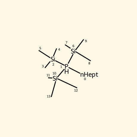 CCCCCCC[PH]([Si](C)(C)C)([Si](C)(C)C)[Si](C)(C)C